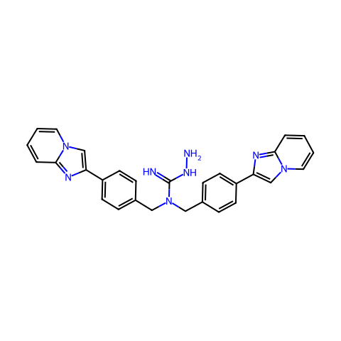 N=C(NN)N(Cc1ccc(-c2cn3ccccc3n2)cc1)Cc1ccc(-c2cn3ccccc3n2)cc1